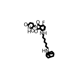 O=C1CCC(N2C(=O)c3c(F)ccc(NCCCCCCCNC45CC6CC(CC(C6)C4)C5)c3C2=O)C(=O)N1